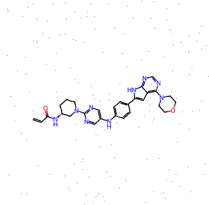 C=CC(=O)N[C@H]1CCCN(c2ncc(Nc3ccc(-c4cc5c(N6CCOCC6)ncnc5[nH]4)cc3)cn2)C1